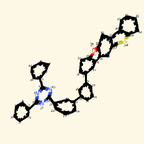 c1ccc(-c2nc(-c3ccccc3)nc(-c3cccc(-c4cccc(-c5ccc6oc7cc8c(cc7c6c5)sc5ccccc58)c4)c3)n2)cc1